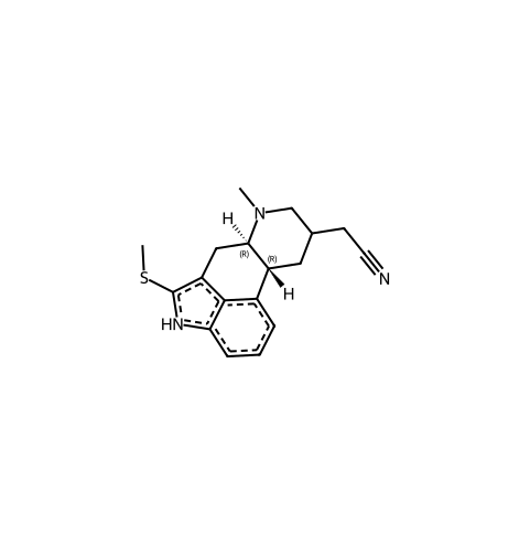 CSc1[nH]c2cccc3c2c1C[C@@H]1[C@@H]3CC(CC#N)CN1C